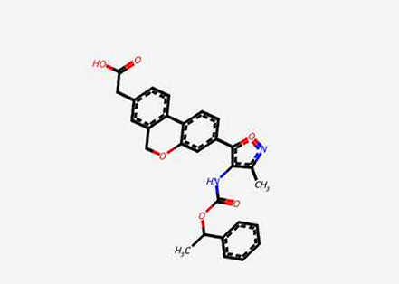 Cc1noc(-c2ccc3c(c2)OCc2cc(CC(=O)O)ccc2-3)c1NC(=O)OC(C)c1ccccc1